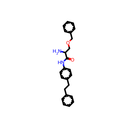 NC(COCc1ccccc1)C(=O)Nc1ccc(CCc2ccccc2)cc1